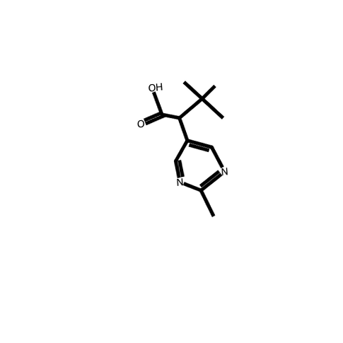 Cc1ncc(C(C(=O)O)C(C)(C)C)cn1